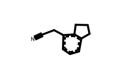 N#CCc1cccc2c1CC[CH]2